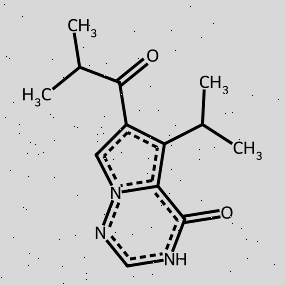 CC(C)C(=O)c1cn2nc[nH]c(=O)c2c1C(C)C